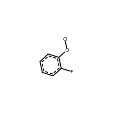 Fc1ccccc1OCl